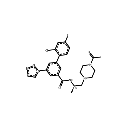 CC(=O)N1CCN(C[C@@H](C)NC(=O)c2cc(-c3ccc(F)cc3Cl)cc(-n3cnnn3)c2)CC1